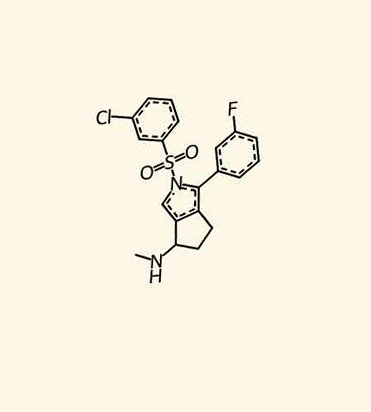 CNC1CCc2c1cn(S(=O)(=O)c1cccc(Cl)c1)c2-c1cccc(F)c1